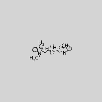 CCN1/C(=C/C=C2\CCC(/C=C/C3=Nc4ccccc4C3(C)C)=C2Cl)C(C)(C)c2ccccc21